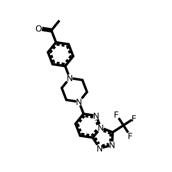 CC(=O)c1ccc(N2CCN(c3ccc4nnc(C(F)(F)F)n4n3)CC2)cc1